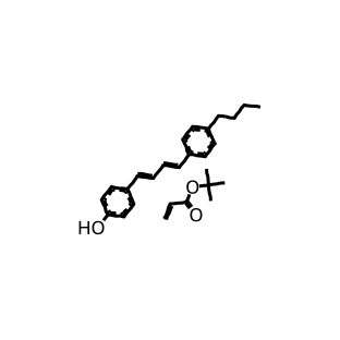 C=CC(=O)OC(C)(C)C.CCCCc1ccc(C=CC=Cc2ccc(O)cc2)cc1